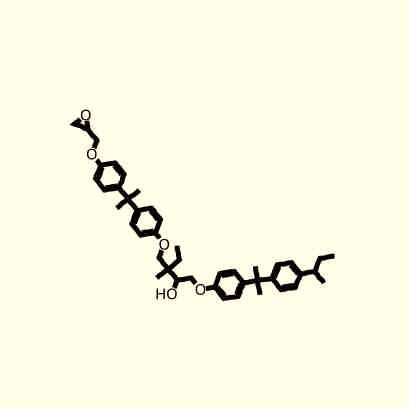 CCC(C)c1ccc(C(C)(C)c2ccc(OCC(O)C(C)(CC)COc3ccc(C(C)(C)c4ccc(OCC5CO5)cc4)cc3)cc2)cc1